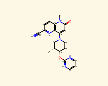 C[C@@H]1CN(c2cc(=O)n(C)c3ccc(C#N)nc23)CC[C@@H]1Oc1ncccn1